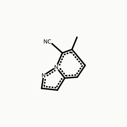 Cc1ccc2ccnn2c1C#N